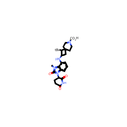 Cn1c(=O)n(C2CCC(=O)NC2=O)c2cccc(NC3CC4(CCN(C(=O)O)CC4)C3C(C)(C)C)c21